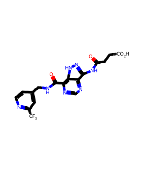 O=C(O)CCC(=O)Nc1n[nH]c2c(C(=O)NCc3ccnc(C(F)(F)F)c3)ncnc12